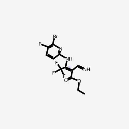 CCOC(=O)/C(C=N)=C(/Nc1ccc(F)c(Br)n1)C(F)(F)F